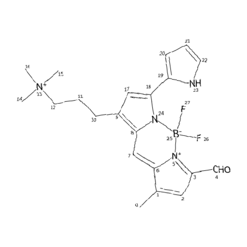 CC1=CC(C=O)=[N+]2C1=Cc1c(CCC[N+](C)(C)C)cc(-c3ccc[nH]3)n1[B-]2(F)F